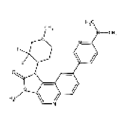 CN1CCC(n2c(=O)n(C)c3cnc4ccc(-c5ccc(N(C)C)nc5)cc4c32)C(F)(F)C1